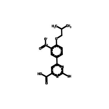 CC(C)COc1ccc(-c2cc(C(=O)O)nc(S)n2)cc1[N+](=O)[O-]